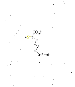 CCCCCCCCCC(=S)C(=O)O